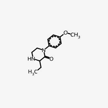 CCC1NCCN(c2ccc(OC)cc2)C1=O